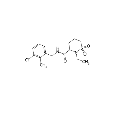 CCN1C(C(=O)NCc2cccc(Cl)c2C)CCCS1(=O)=O